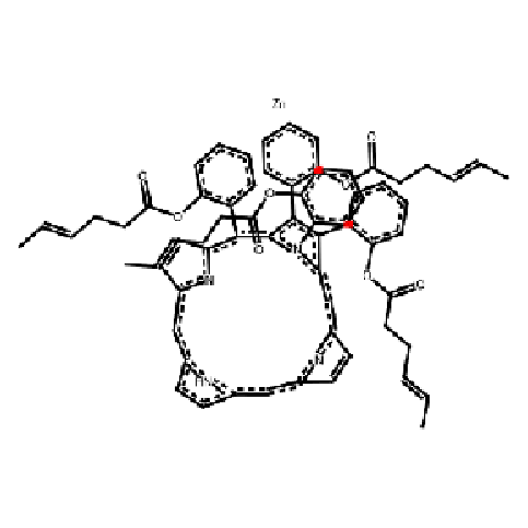 CC=CCCC(=O)Oc1ccccc1-c1c(-c2ccccc2OC(=O)CCC=CC)c2c(-c3ccccc3OC(=O)CCC=CC)c3nc(cc4ccc(cc5nc(cc1n2-c1ccccc1OC(=O)CCC=CC)C=C5)[nH]4)C=C3.[Zn]